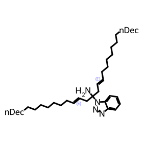 CCCCCCCCCCCCCCCCC/C=C/CC(N)(C/C=C/CCCCCCCCCCCCCCCCC)n1nnc2ccccc21